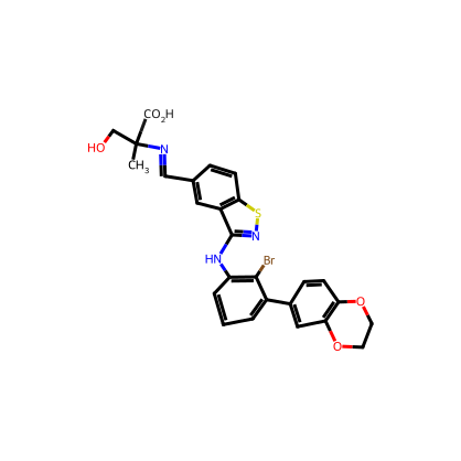 CC(CO)(N=Cc1ccc2snc(Nc3cccc(-c4ccc5c(c4)OCCO5)c3Br)c2c1)C(=O)O